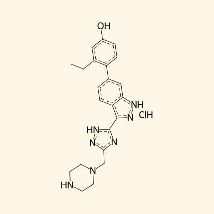 CCc1cc(O)ccc1-c1ccc2c(-c3nc(CN4CCNCC4)n[nH]3)n[nH]c2c1.Cl